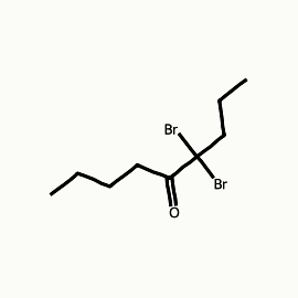 CCCCC(=O)C(Br)(Br)CCC